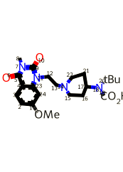 COc1ccc2c(=O)n(C)c(=O)n(CCN3CCC(N(C(=O)O)C(C)(C)C)CC3)c2c1